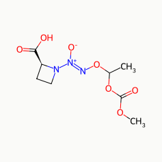 COC(=O)OC(C)ON=[N+]([O-])N1CC[C@H]1C(=O)O